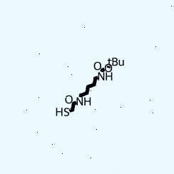 CC(C)(C)OC(=O)NCCCCCNC(=O)CS